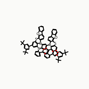 CC(C)(C)c1cc(-c2cc3c4c(c2)N(c2ccccc2-c2ccccc2)c2cc5c(cc2B4c2ccc4c(oc6ccccc64)c2S3)B2c3ccc4c(oc6ccccc64)c3Sc3cc(-c4cc(C(C)(C)C)cc(C(C)(C)C)c4)cc(c32)N5c2ccccc2-c2ccccc2)cc(C(C)(C)C)c1